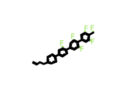 C=CCCc1ccc(-c2ccc(-c3cc(F)c(-c4cc(F)c(CF)c(F)c4)c(F)c3)c(F)c2)cc1